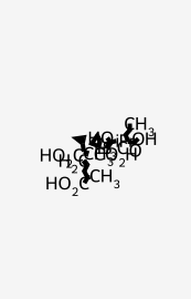 C=CCC(C)C(=O)O.CC(C(=O)O)C1CC1.CC(C)C(O)=S.CCCC(C)C(=O)O.O=C(O)C1CCC1